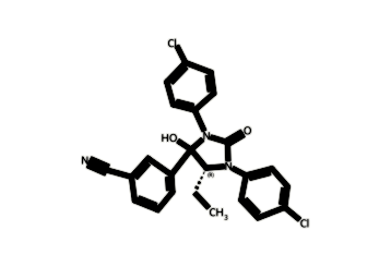 CC[C@H]1N(c2ccc(Cl)cc2)C(=O)N(c2ccc(Cl)cc2)C1(O)c1cccc(C#N)c1